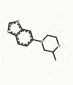 CC1C[N+](c2ccc3scnc3c2)CCO1